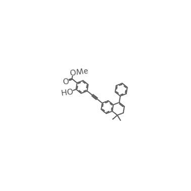 COC(=O)c1ccc(C#Cc2ccc3c(c2)C(c2ccccc2)=CCC3(C)C)cc1O